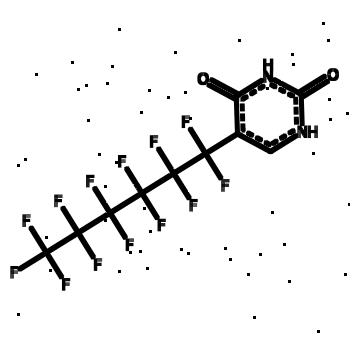 O=c1[nH]cc(C(F)(F)C(F)(F)C(F)(F)C(F)(F)C(F)(F)C(F)(F)F)c(=O)[nH]1